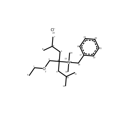 CCOCC(CC(C)C)(CC(C)C)[N+](C)(C)Cc1ccccc1.[Cl-]